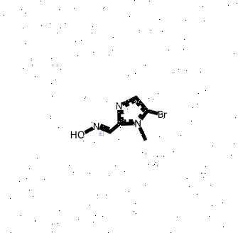 Cn1c(Br)cnc1/C=N/O